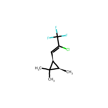 C[C@@H]1[C@H](C=C(Cl)C(F)(F)F)C1(C)C